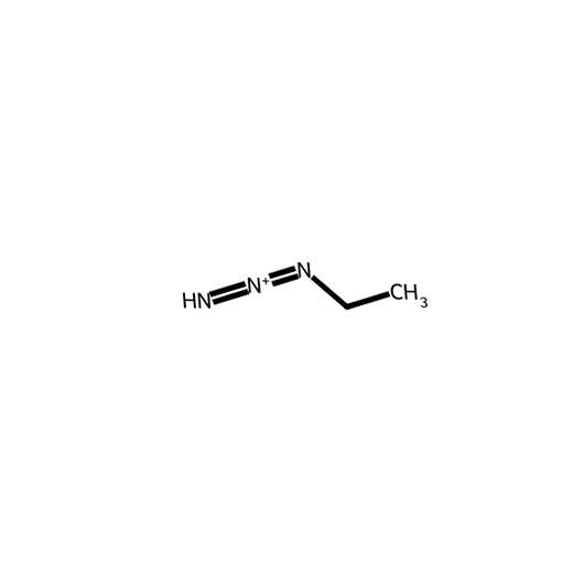 CCN=[N+]=N